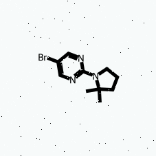 CC1(C)CCCN1c1ncc(Br)cn1